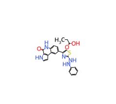 CCC(=O)O.O=c1[nH]c2ccc(-c3csc(NNc4ccccc4)n3)cc2c2cc[nH]c12